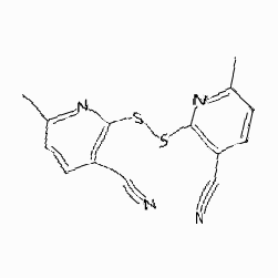 Cc1ccc(C#N)c(SSc2nc(C)ccc2C#N)n1